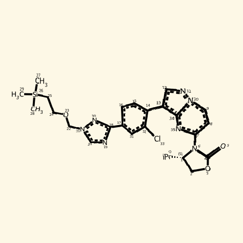 CC(C)[C@H]1COC(=O)N1c1ccn2ncc(-c3ccc(-c4ncn(COCC[Si](C)(C)C)n4)cc3Cl)c2n1